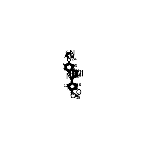 Cl.Cl.c1cn(-c2ccc3nc(-c4ccc5c(c4)OCO5)ccc3c2)cn1